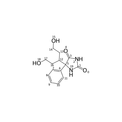 O=C1NC(=O)C(c2ccccc2)(C(CCO)CCO)N1